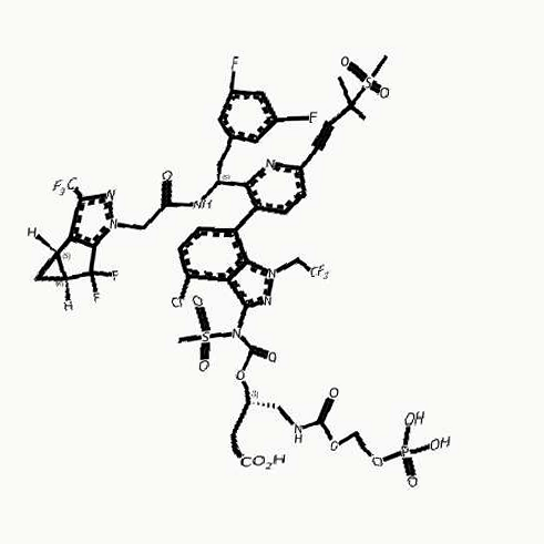 CC(C)(C#Cc1ccc(-c2ccc(Cl)c3c(N(C(=O)O[C@H](CNC(=O)OCOP(=O)(O)O)CC(=O)O)S(C)(=O)=O)nn(CC(F)(F)F)c23)c([C@H](Cc2cc(F)cc(F)c2)NC(=O)Cn2nc(C(F)(F)F)c3c2C(F)(F)[C@@H]2C[C@H]32)n1)S(C)(=O)=O